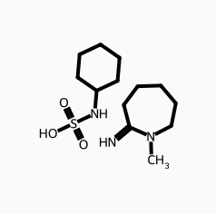 CN1CCCCCC1=N.O=S(=O)(O)NC1CCCCC1